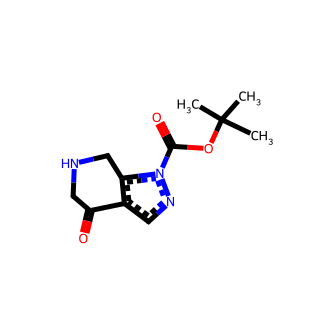 CC(C)(C)OC(=O)n1ncc2c1CNCC2=O